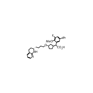 COc1c(F)cc(C(C)C)cc1C(C(=O)O)N1CC[C@@H](OCCCC[C@H]2CCc3cccnc3N2)C1